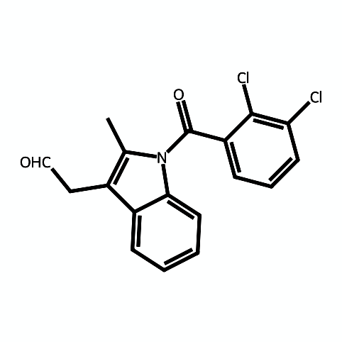 Cc1c(CC=O)c2ccccc2n1C(=O)c1cccc(Cl)c1Cl